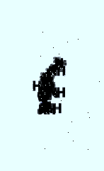 CN/C=C(\C=N)c1ccc(N)c(C(=N)C2Cc3cc(CNCCN(C)C)ccc3N2)c1